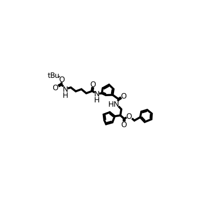 CC(C)(C)OC(=O)NCCCCC(=O)Nc1cccc(C(=O)NCC(C(=O)OCc2ccccc2)c2ccccc2)c1